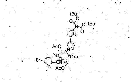 CC(=O)OC[C@H]1O[C@H](Sc2cc(Br)cnc2C#N)[C@H](OC(C)=O)[C@@H](n2cc(-c3csc(N(C(=O)OC(C)(C)C)C(=O)OC(C)(C)C)n3)nn2)[C@H]1OC(C)=O